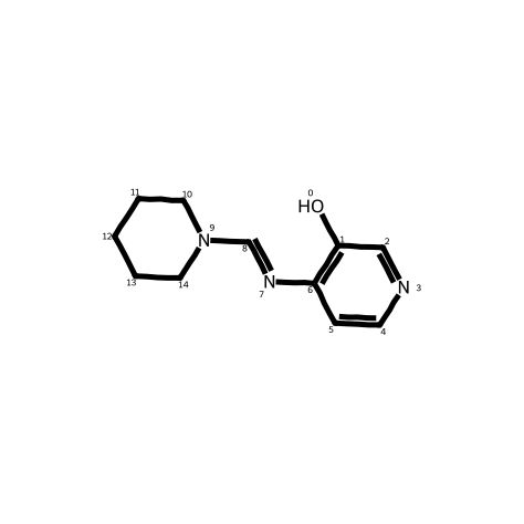 Oc1cnccc1N=CN1CCCCC1